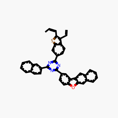 C=Cc1c(/C=C\C)sc2cc(-c3nc(-c4ccc5ccccc5c4)nc(-c4ccc5oc6cc7ccccc7cc6c5c4)n3)ccc12